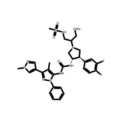 COCC(CNS(C)(=O)=O)N1C[C@@H](NC(=O)Nc2c(C)c(-c3cnn(C)c3)nn2-c2ccccc2)[C@H](c2ccc(F)c(F)c2)C1